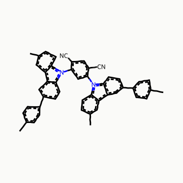 Cc1ccc(-c2ccc3c(c2)c2cc(C)ccc2n3-c2cc(-n3c4ccc(C)cc4c4cc(-c5ccc(C)cc5)ccc43)c(C#N)cc2C#N)cc1